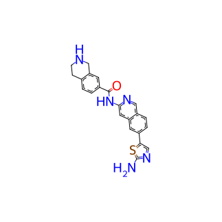 Nc1ncc(-c2ccc3cnc(NC(=O)c4ccc5c(c4)CNCC5)cc3c2)s1